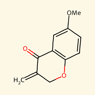 C=C1COc2ccc(OC)cc2C1=O